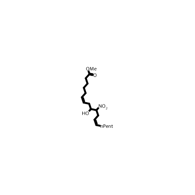 CCCCC/C=C\CC(C(O)C/C=C\CCCCC(=O)OC)[N+](=O)[O-]